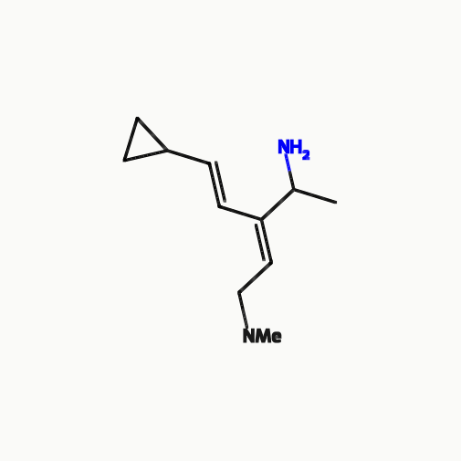 CNC/C=C(\C=C\C1CC1)C(C)N